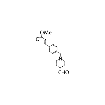 COC(=O)/C=C/c1ccc(CN2CCC(C=O)CC2)cc1